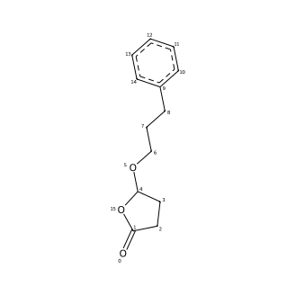 O=C1CCC(OCCCc2ccccc2)O1